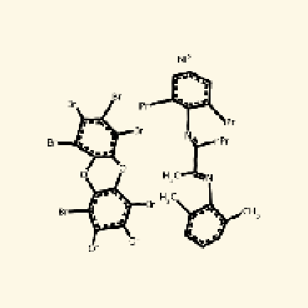 CCCC(=Nc1c(C(C)C)cccc1C(C)C)C(C)=Nc1c(C)cccc1C.[Ni+2].[O-]c1c([O-])c(Br)c2c(c1Br)Oc1c(Br)c(Br)c(Br)c(Br)c1O2